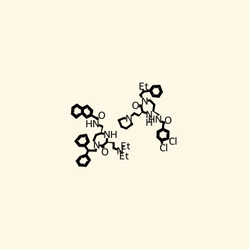 CCC(CN1CC[C@@H](CNC(=O)c2ccc(Cl)c(Cl)c2)N[C@@H](CCN2CCCCC2)C1=O)c1ccccc1.CCN(CC)CC[C@@H]1N[C@H](CNC(=O)c2ccc3ccccc3c2)CCN(CC(c2ccccc2)c2ccccc2)C1=O